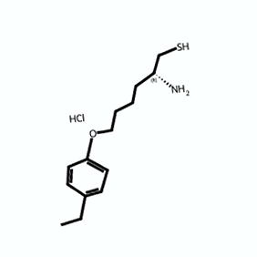 CCc1ccc(OCCCC[C@@H](N)CS)cc1.Cl